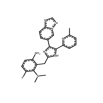 Cc1cccc(-c2[nH]c(Cc3c(N)ccc(F)c3N(C)C)nc2-c2ccc3ncnn3c2)n1